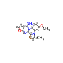 COc1ccc(N2C(c3nc(C)cs3)=Nc3occc3C2N)cc1